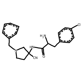 N#CC1(NC(=O)C(N)Cc2ccc(Cl)cc2)CCN(Cc2ccccc2)C1